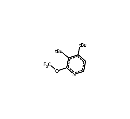 CC(C)(C)c1ccnc(OC(F)(F)F)c1C(C)(C)C